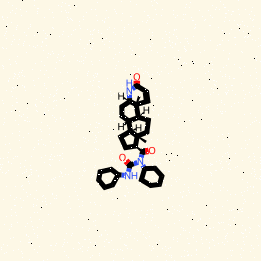 C[C@]12C=CC(=O)N[C@@H]1CC[C@@H]1[C@@H]2CC[C@]2(C)[C@@H](C(=O)N(C(=O)NC3CCCCC3)C3CCCCC3)CC[C@@H]12